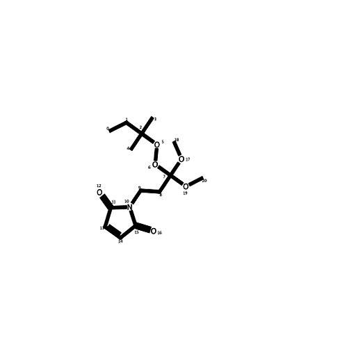 CCC(C)(C)OOC(CCN1C(=O)C=CC1=O)(OC)OC